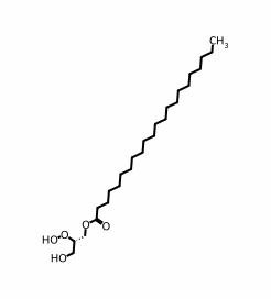 CCCCCCCCCCCCCCCCCCCCCC(=O)OC[C@H](CO)OO